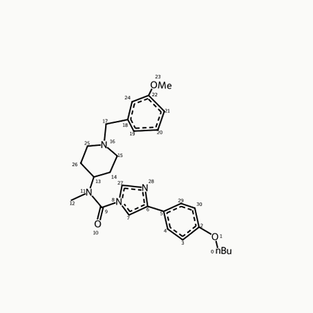 CCCCOc1ccc(-c2cn(C(=O)N(C)C3CCN(Cc4cccc(OC)c4)CC3)cn2)cc1